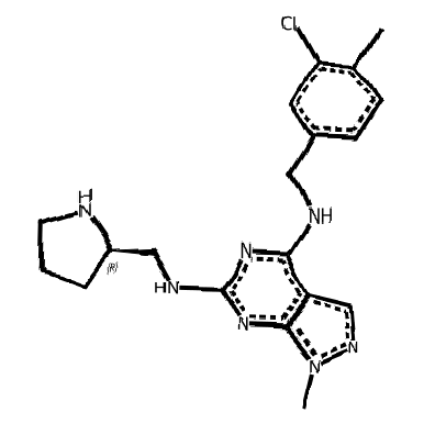 Cc1ccc(CNc2nc(NC[C@H]3CCCN3)nc3c2cnn3C)cc1Cl